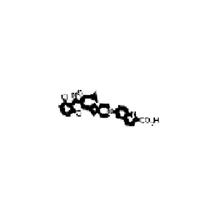 O=C(O)c1ccc2cc(N3CCC4(CC3)CC(=Cc3c(-c5c(Cl)cccc5Cl)noc3C3CC3)C4)ccc2n1